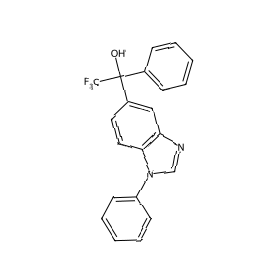 OC(c1ccccc1)(c1ccc2c(c1)ncn2-c1ccccc1)C(F)(F)F